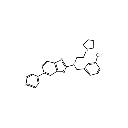 Oc1cccc(CN(CCN2CCCC2)c2nc3ccc(-c4ccncc4)cc3s2)c1